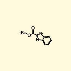 CC(C)(C)OC(=O)C1=Nc2ccccc2[N]1